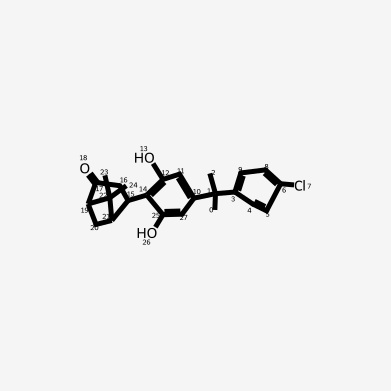 CC(C)(c1ccc(Cl)cc1)c1cc(O)c(C2CC(=O)C3CC2C3(C)C)c(O)c1